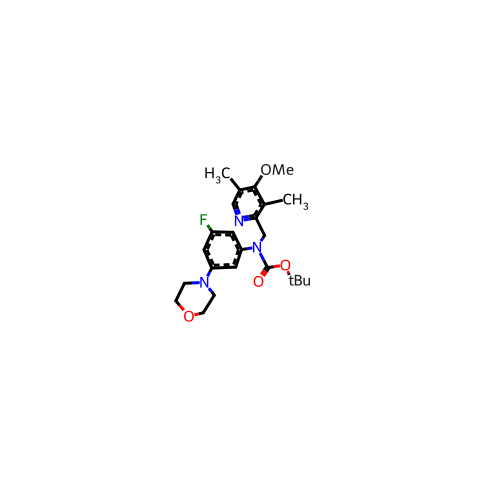 COc1c(C)cnc(CN(C(=O)OC(C)(C)C)c2cc(F)cc(N3CCOCC3)c2)c1C